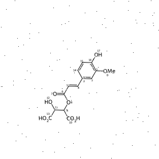 COc1cc(C=CC(=O)OC(C(=O)O)C(O)C(=O)O)ccc1O